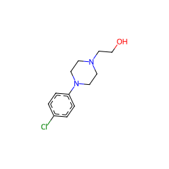 OCCN1CCN(c2ccc(Cl)cc2)CC1